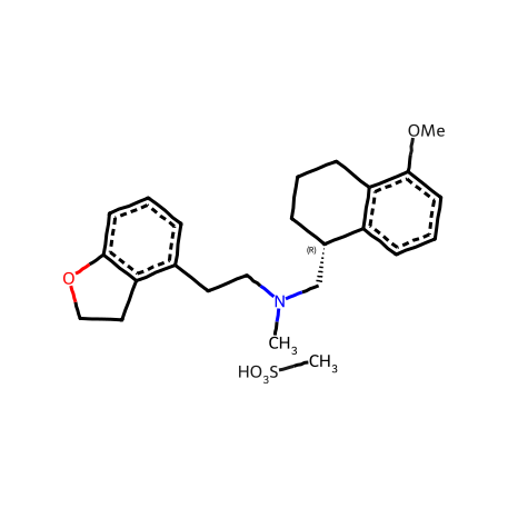 COc1cccc2c1CCC[C@H]2CN(C)CCc1cccc2c1CCO2.CS(=O)(=O)O